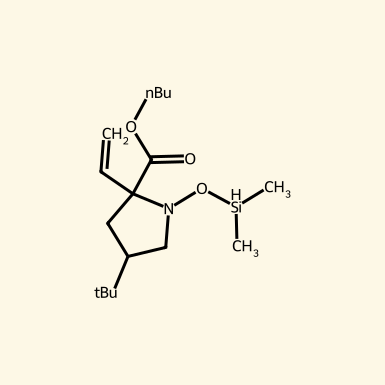 C=CC1(C(=O)OCCCC)CC(C(C)(C)C)CN1O[SiH](C)C